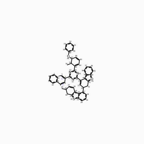 C/C=C(\C=C/c1ccccc1)c1nc(C2=CC(c3cccc4sc5c(c34)C=CC(C)C5)Cc3oc4ccccc4c32)nc(C2=CC=CC(Oc3ccccc3)C2C)n1